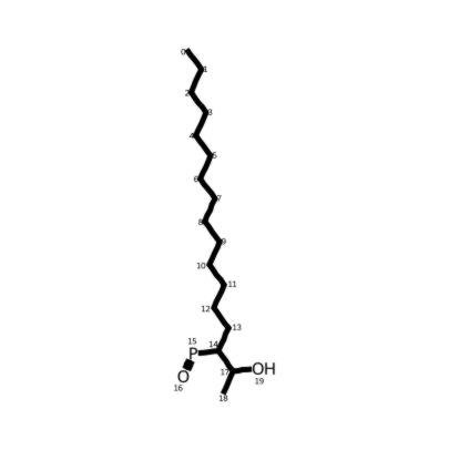 CCCCCCCCCCCCCCC(P=O)C(C)O